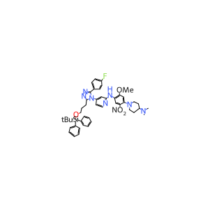 COc1cc(N2CCC(N(C)C)CC2)c([N+](=O)[O-])cc1Nc1cc(-n2c(CCCO[Si](c3ccccc3)(c3ccccc3)C(C)(C)C)nnc2-c2ccc(F)cc2)ccn1